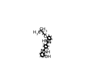 CN(C)CCCOc1cccc2nc(-c3ccc(-c4nc5cccc(O)c5[nH]4)cc3)[nH]c12